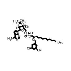 CCCCCCCCCCCCCCCCCCC[C@H](COP(=O)(O)OC[C@@]1(C#N)OC(c2ccc3c(N)ncnn23)[C@@H]2OC(C)(C)O[C@@H]21)OCc1cc(Cl)cc(C#N)c1